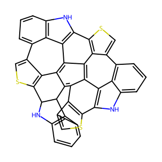 c1cc2c3c(c1)-c1csc4c5[nH]c6cccc7c8csc9c%10[nH]c%11cccc%12c%13csc%14c%13c%13c(c(c14)c(c5c67)c(c89)c%13c%10c%11%12)C3C%14N2